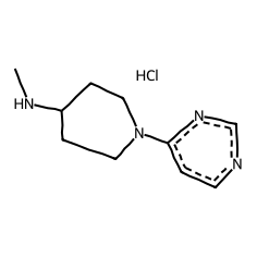 CNC1CCN(c2ccncn2)CC1.Cl